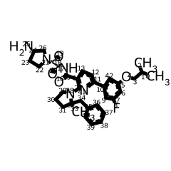 CC(C)COc1cc(F)cc(-c2ccc(C(=O)NS(=O)(=O)N3CC[C@@H](N)C3)c(N3CCCC3(C)Cc3ccccc3)n2)c1